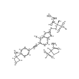 CCC(C)(C(N)=O)S(C)(=O)=O.C[C@@](CCn1cc2c(F)c(C#Cc3ccc(C4(O)COC4)cc3)ccc2n1)(C(=O)NO)S(C)(=O)=O